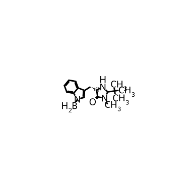 Bn1cc(C[C@@H]2NC(C(C)(C)C)N(C)C2=O)c2ccccc21